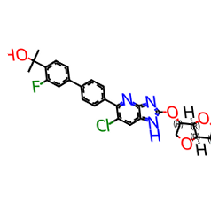 CC(C)(O)c1ccc(-c2ccc(-c3nc4nc(O[C@@H]5CO[C@H]6[C@@H]5OC[C@H]6O)[nH]c4cc3Cl)cc2)cc1F